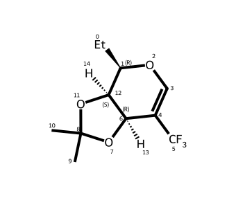 CC[C@H]1OC=C(C(F)(F)F)[C@H]2OC(C)(C)O[C@H]21